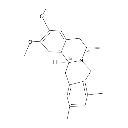 COc1cc2c(cc1OC)[C@@H]1Cc3cc(C)cc(C)c3CN1[C@@H](C)C2